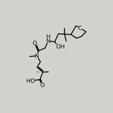 C/C(=C\CN(C)C(=O)CNC(O)CC(C)(C)C1CCCCC1)C(=O)O